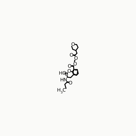 CCCC(=O)N[C@H]1Cc2cccc(C(=O)OCOC(=O)CC3CCOCC3)c2OB1O